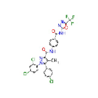 Cc1c(C(=O)Nc2ccc(C(=O)Nc3nnc(C(F)(F)F)o3)cc2)nn(-c2ccc(Cl)cc2Cl)c1-c1ccc(Cl)cc1